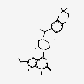 CCn1c(CC#N)nc2c(N3C[C@@H](C)N(C(C)c4ccc5c(c4)OC(F)(F)CO5)C[C@@H]3C)nc(=O)n(C)c21